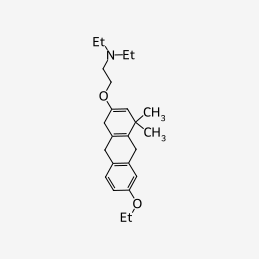 CCOc1ccc2c(c1)CC1=C(CC(OCCN(CC)CC)=CC1(C)C)C2